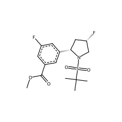 COC(=O)c1cc(F)cc([C@@H]2C[C@H](F)CN2S(=O)(=O)C(C)(C)C)c1